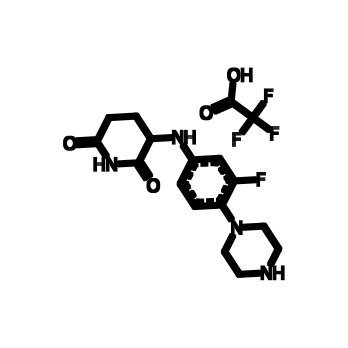 O=C(O)C(F)(F)F.O=C1CCC(Nc2ccc(N3CCNCC3)c(F)c2)C(=O)N1